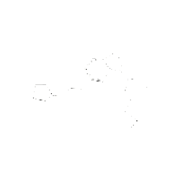 CCCCCC(CC)N1CCc2ccc(OCCN3CCCC3)cc21